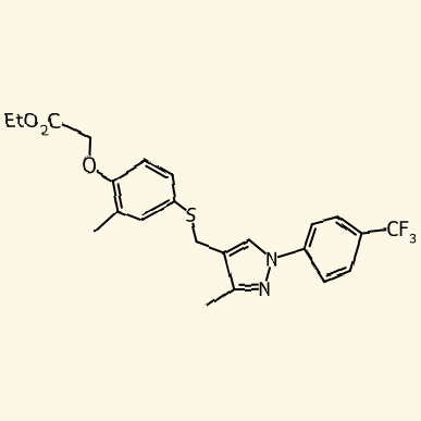 CCOC(=O)COc1ccc(SCc2cn(-c3ccc(C(F)(F)F)cc3)nc2C)cc1C